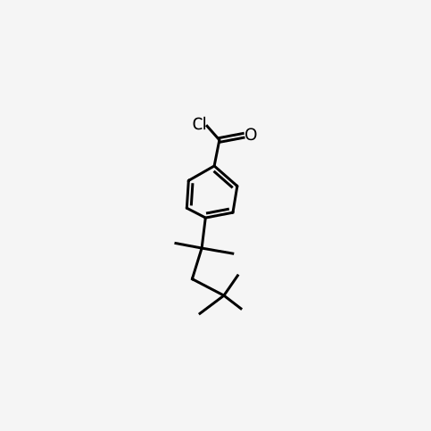 CC(C)(C)CC(C)(C)c1ccc(C(=O)Cl)cc1